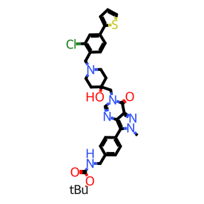 Cn1nc2c(=O)n(CC3(O)CCN(Cc4ccc(-c5cccs5)cc4Cl)CC3)cnc2c1-c1ccc(CNC(=O)OC(C)(C)C)cc1